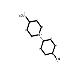 CCCCCCCCC1CCN([C@H]2CC[C@H](C#N)CC2)CC1